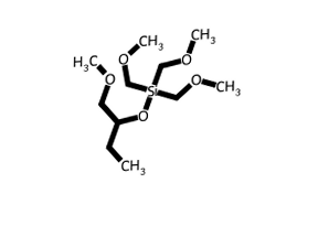 CCC(COC)O[Si](COC)(COC)COC